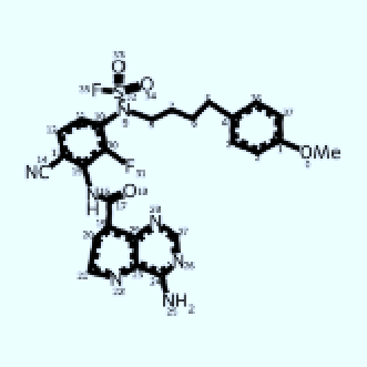 COc1ccc(CCCCN(c2ccc(C#N)c(NC(=O)c3ccnc4c(N)ncnc34)c2F)S(=O)(=O)F)cc1